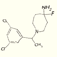 CC(c1cc(Cl)cc(Cl)c1)N1CCC(N)(F)CC1